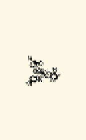 COc1ccc2c(c1)nc([S+]([O-])Cc1ncc(C)c(OC)c1C)n2S(=O)(=O)C[C@]12CC[C@@H](CC1=O)C2(C)C